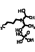 CCCCN(C(C)O)C(C)O.O=P(O)(O)O